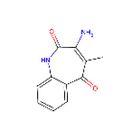 Cc1c(N)c(=O)[nH]c2ccccc2c1=O